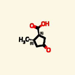 C[C@H]1CC(=O)C[C@@H]1C(=O)O